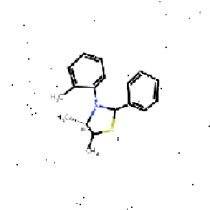 Cc1ccccc1N1C(c2ccccc2)SC(C)[C@@H]1C